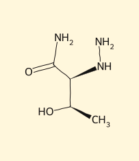 C[C@@H](O)[C@H](NN)C(N)=O